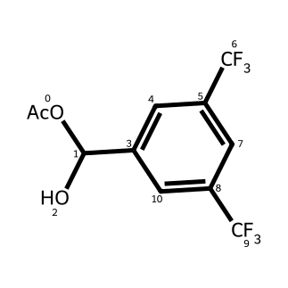 [CH2]C(=O)OC(O)c1cc(C(F)(F)F)cc(C(F)(F)F)c1